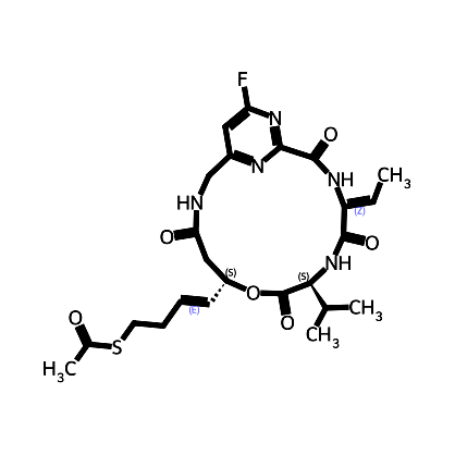 C/C=C1\NC(=O)c2nc(F)cc(n2)CNC(=O)C[C@@H](/C=C/CCSC(C)=O)OC(=O)[C@H](C(C)C)NC1=O